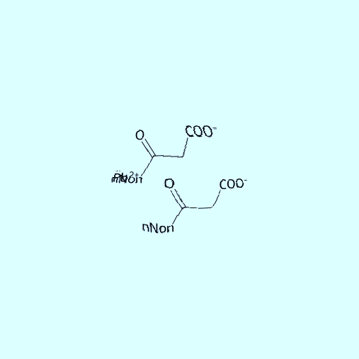 CCCCCCCCCC(=O)CC(=O)[O-].CCCCCCCCCC(=O)CC(=O)[O-].[Pb+2]